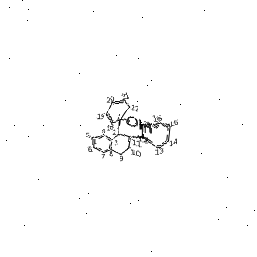 OC1([C@@H]2c3ccccc3CC[C@@H]2c2ccccc2)C=CC=CC1